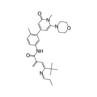 C=C(/C=C(\N=C/CC)C(C)(C)C)C(=O)Nc1ccc(C)c(-c2cc(N3CCOCC3)n(C)c(=O)c2)c1